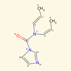 CC=CN(/C=C\C)C(=O)n1ccnc1